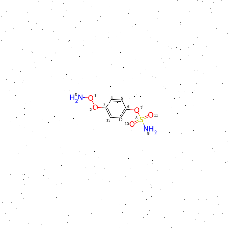 NOOc1ccc(OS(N)(=O)=O)cc1